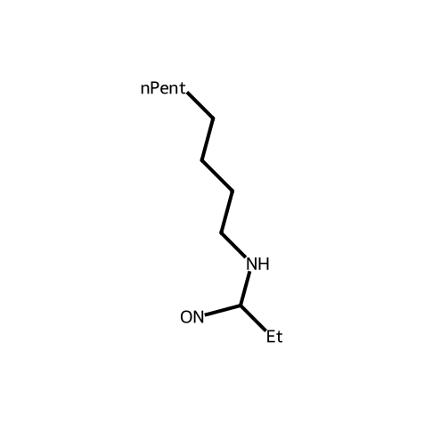 CCCCCCCCCNC(CC)N=O